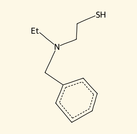 CCN(CCS)Cc1ccccc1